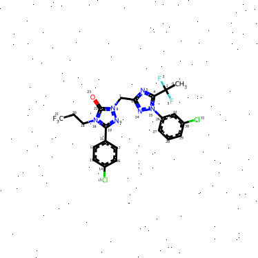 CC(F)(F)c1nc(Cn2nc(-c3ccc(Cl)cc3)n(CCC(F)(F)F)c2=O)nn1-c1cccc(Cl)c1